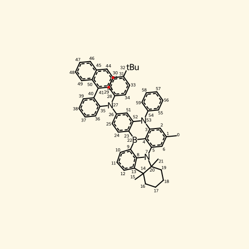 Cc1cc2c3c(c1)N1c4c(cccc4C4(C)CCCCC14C)B3c1ccc(N(c3ccc(C(C)(C)C)cc3)c3ccccc3-c3cccc4ccccc34)cc1N2c1ccccc1